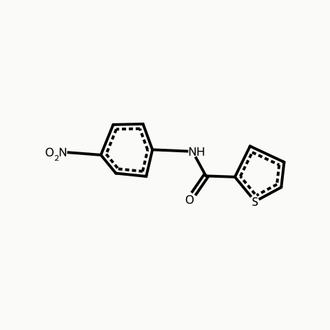 O=C(Nc1ccc([N+](=O)[O-])cc1)c1cccs1